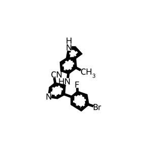 Cc1c(Nc2c(C#N)cncc2-c2ccc(Br)cc2F)ccc2[nH]ccc12